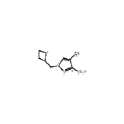 N#Cc1cn(CC2CCC2)nc1C(=O)O